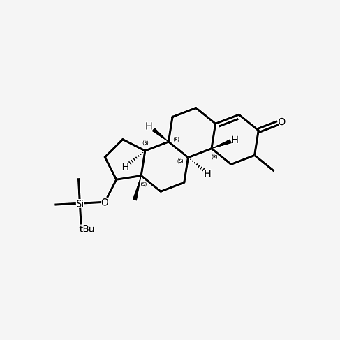 CC1C[C@H]2C(=CC1=O)CC[C@@H]1[C@@H]2CC[C@]2(C)C(O[Si](C)(C)C(C)(C)C)CC[C@@H]12